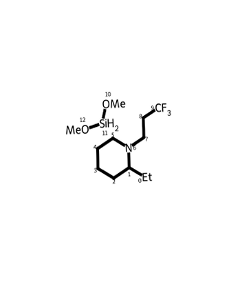 CCC1CCCCN1CCC(F)(F)F.CO[SiH2]OC